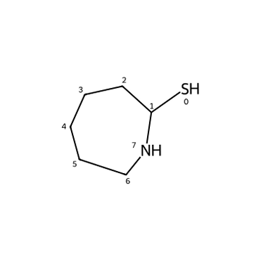 SC1CCCCCN1